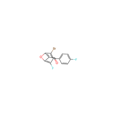 O=Cc1c2c(F)c(-c3ccc(F)cc3)c(Br)c1O2